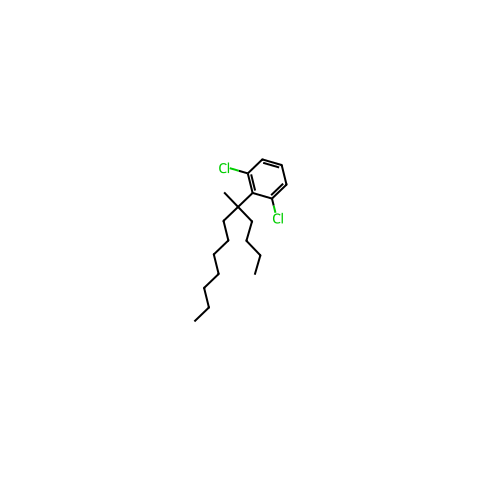 CCCCCCCC(C)(CCCC)c1c(Cl)cccc1Cl